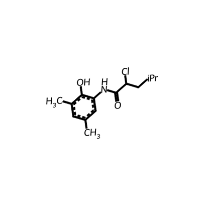 Cc1cc(C)c(O)c(NC(=O)C(Cl)CC(C)C)c1